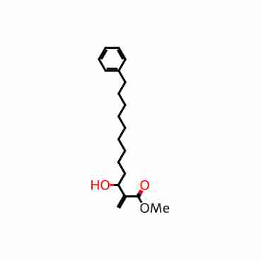 C=C(C(=O)OC)C(O)CCCCCCCCCc1ccccc1